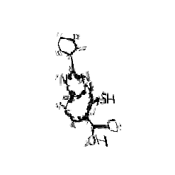 O=C(O)c1cnc2nc(C3CCCC3)nn2c1S